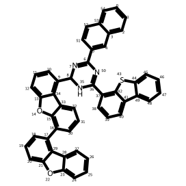 c1ccc2cc(C3=NC(c4cccc5oc6c(-c7cccc8oc9ccccc9c78)cccc6c45)NC(c4cccc5c4sc4ccccc45)=N3)ccc2c1